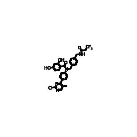 Cc1cnc(Cl)nc1-c1ccc(N(Cc2ccc(CNC(=O)CC(F)(F)F)cc2)C(=O)c2ccc(O)cc2O)cc1